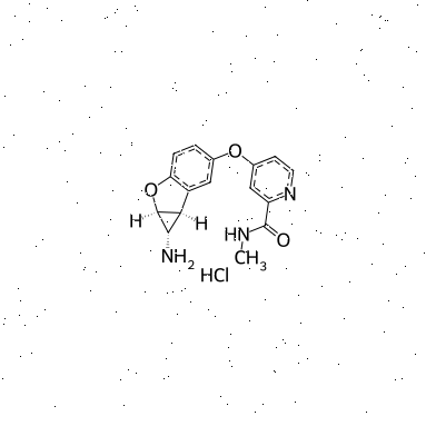 CNC(=O)c1cc(Oc2ccc3c(c2)[C@H]2[C@H](N)[C@H]2O3)ccn1.Cl